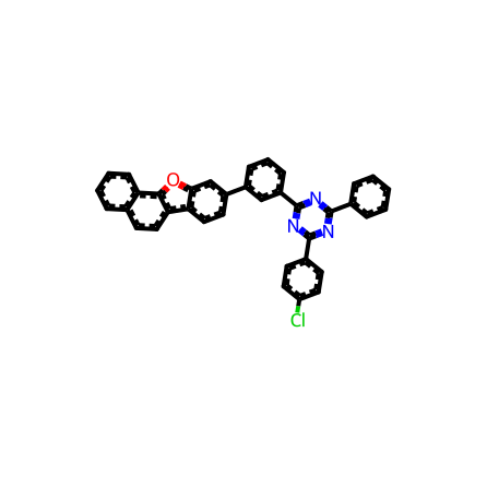 Clc1ccc(-c2nc(-c3ccccc3)nc(-c3cccc(-c4ccc5c(c4)oc4c6ccccc6ccc54)c3)n2)cc1